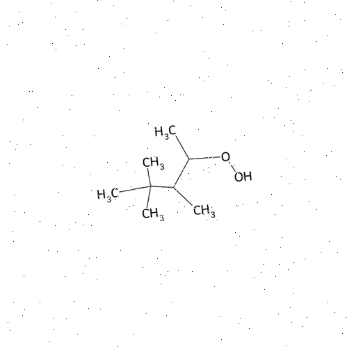 CC(OO)C(C)C(C)(C)C